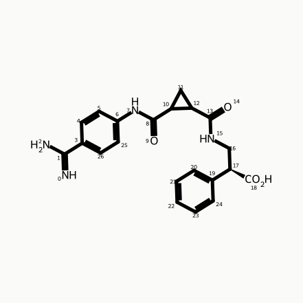 N=C(N)c1ccc(NC(=O)C2CC2C(=O)NC[C@@H](C(=O)O)c2ccccc2)cc1